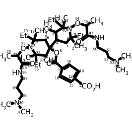 CCC1(C)CC(C2(OC(=O)c3ccc(C(=O)O)cc3)CC(C)(CC)N(OC(C)C(=O)NCCCN(C)C)C(C)(CC)C2C)C(C)C(C)(CC)N1OC(C)C(=O)NCCCN(C)C